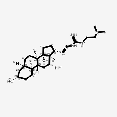 CN(C)CCNC(=N)NN=C[C@H]1CC[C@]2(O)[C@@H]3CC[C@@H]4C[C@@H](O)CC[C@]4(C)[C@H]3CC[C@]12C.I